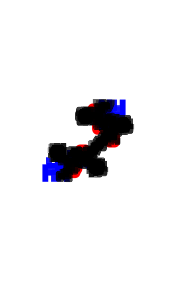 CN[C@@H](C)C(=O)N[C@@H](CCc1ccccc1)C(=O)N1CCC[C@H]1CN(CCc1ccccc1)C(=O)CCCCCCCCC(=O)N(CCc1ccccc1)C[C@@H]1CCCN1C(=O)[C@H](CCc1ccccc1)NC(=O)[C@H](C)NC